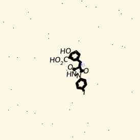 O=C1NN(c2ccc(I)cc2)C(=O)/C1=C/c1ccc(O)c(C(=O)O)c1